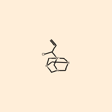 C=CC(Cl)[N+]12CN3CN(CN(C3)C1)C2